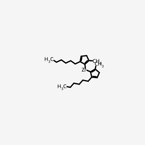 CCCCCCC1=CCC(C)=[C]1[Zr][C]1=C(C)CC=C1CCCCCC